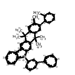 Cc1ccccc1-c1cc2c(cc1C)C(C)(C)c1cc3c4ccccc4n(-c4cccc(-c5ccccc5)c4)c3cc1C2(C)C